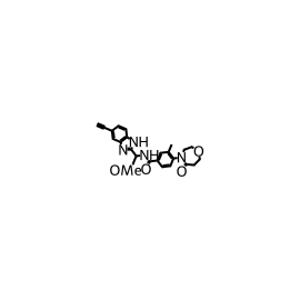 C#Cc1ccc2[nH]c(C(COC)NC(=O)c3ccc(N4CCOCCC4=O)c(C)c3)nc2c1